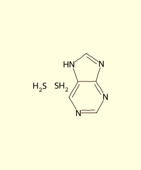 S.S.c1ncc2[nH]cnc2n1